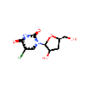 O=c1[nH]c(=O)n([C@H]2O[C@@H](CO)CC2O)cc1Cl